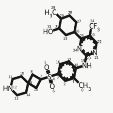 Cc1cc(S(=O)(=O)C2CC3(CCNCC3)C2)ccc1Nc1ncc(C(F)(F)F)c(C2CCC(C)C(O)C2)n1